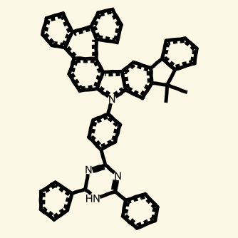 CC1(C)c2ccccc2-c2cc3c4c5c6ccccc6c6ccccc6c5ccc4n(-c4ccc(C5=NC(c6ccccc6)NC(c6ccccc6)=N5)cc4)c3cc21